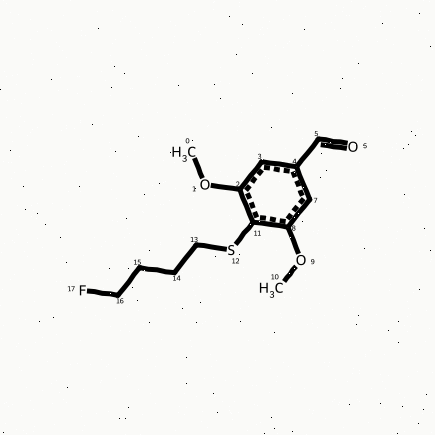 COc1cc(C=O)cc(OC)c1SCCCCF